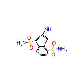 [NH]c1cc(S(N)(=O)=O)c2cccc(S(N)(=O)=O)c2c1